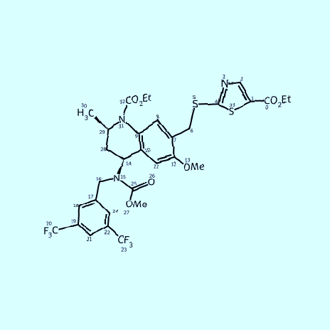 CCOC(=O)c1cnc(SCc2cc3c(cc2OC)[C@@H](N(Cc2cc(C(F)(F)F)cc(C(F)(F)F)c2)C(=O)OC)C[C@@H](C)N3C(=O)OCC)s1